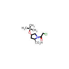 C[Si](C)(C)O[C@@H]1C[C@H](C(=O)O)N(C(=O)CCl)C1